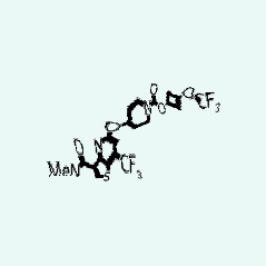 CNC(=O)c1csc2c(C(F)(F)F)cc(OC3CCN(C(=O)O[C@H]4C[C@@H](OC(F)(F)F)C4)CC3)nc12